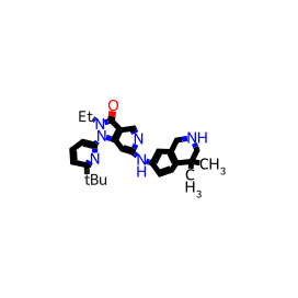 CCn1c(=O)c2cnc(Nc3ccc4c(c3)CNCC4(C)C)cc2n1-c1cccc(C(C)(C)C)n1